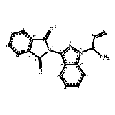 C=CC(N)n1nc(N2C(=O)c3ccccc3C2=O)c2ccccc21